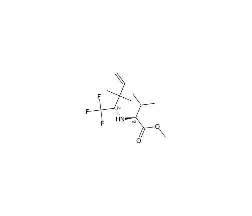 C=CC(C)(C)[C@H](N[C@H](C(=O)OC)C(C)C)C(F)(F)F